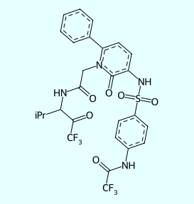 CC(C)C(NC(=O)Cn1c(-c2ccccc2)ccc(NS(=O)(=O)c2ccc(NC(=O)C(F)(F)F)cc2)c1=O)C(=O)C(F)(F)F